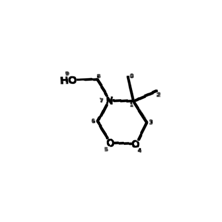 CC1(C)COOCN1CO